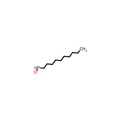 CCCCCCCCCC[PH]=O